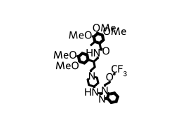 COc1ccc(C(CCN2CCC(Nc3nc4ccccc4n3CCOCC(F)(F)F)CC2)CNC(=O)c2cc(OC)c(OC)c(OC)c2C)cc1OC